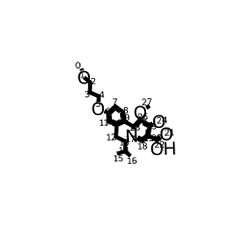 COCCCOc1ccc2c(c1)CC(C(C)C)n1cc(C(=O)O)c(=O)c(OC)c1-2